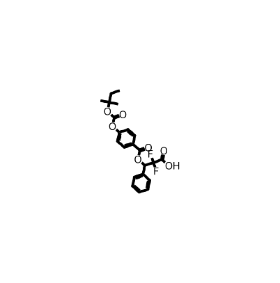 CCC(C)(C)OC(=O)Oc1ccc(C(=O)OC(c2ccccc2)C(F)(F)C(=O)O)cc1